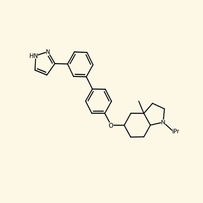 CC(C)N1CCC2(C)CC(Oc3ccc(-c4cccc(-c5cc[nH]n5)c4)cc3)CCC12